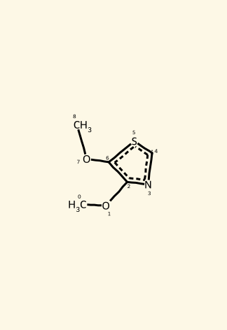 COc1n[c]sc1OC